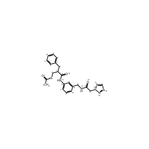 CC(=O)SCC(Cc1ccccc1)C(=O)Nc1cccc(CNC(=O)Cn2ncnn2)c1